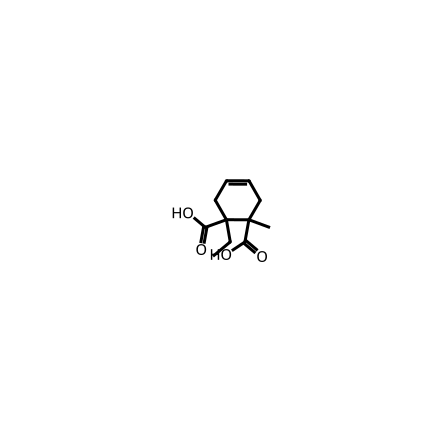 CCC1(C(=O)O)CC=CCC1(C)C(=O)O